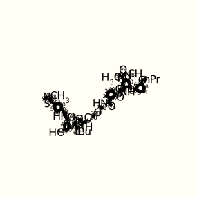 CCCOc1cccc(Oc2cc3c(cc2NS(=O)(=O)c2cccc(C(=O)NCCOCCOCC(=O)N[C@H](C(=O)N4C[C@H](O)C[C@H]4C(=O)NCc4ccc(-c5scnc5C)cc4)C(C)(C)C)c2)n(C)c(=O)n3C)c1